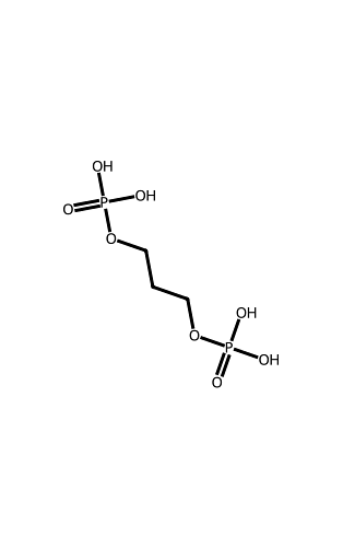 O=P(O)(O)OCCCOP(=O)(O)O